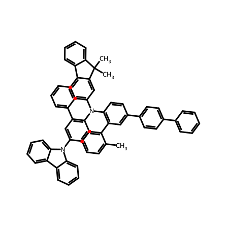 Cc1ccccc1-c1cc(-c2ccc(-c3ccccc3)cc2)ccc1N(c1ccc2c(c1)C(C)(C)c1ccccc1-2)c1ccc(-n2c3ccccc3c3ccccc32)cc1-c1ccccc1